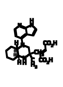 CC1(C)CN(c2ccnc3[nH]ccc23)[C@H]2CCCC[C@@H]2N1.O=C(O)C=CC(=O)O